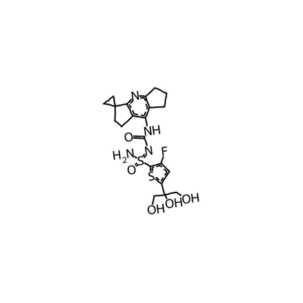 NS(=O)(=NC(=O)Nc1c2c(nc3c1CCC31CC1)CCC2)c1sc(C(O)(CO)CO)cc1F